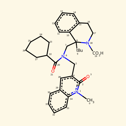 Cn1c(=O)c(CN(CC2(C(C)(C)C)c3ccccc3CCN2C(=O)O)C(=O)C2CCCCC2)cc2ccccc21